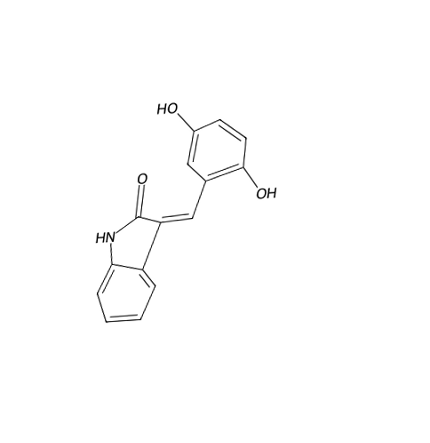 O=C1Nc2ccccc2/C1=C/c1cc(O)ccc1O